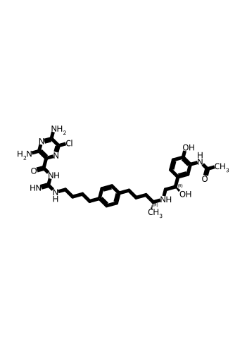 CC(=O)Nc1cc([C@@H](O)CN[C@H](C)CCCc2ccc(CCCCNC(=N)NC(=O)c3nc(Cl)c(N)nc3N)cc2)ccc1O